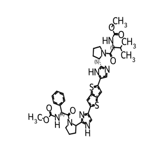 COC(=O)N[C@H](C(=O)N1CCC[C@H]1c1ncc(-c2cc3sc(-c4c[nH]c(C5CCCN5C(=O)[C@H](NC(=O)OC)c5ccccc5)n4)cc3s2)[nH]1)C(C)C